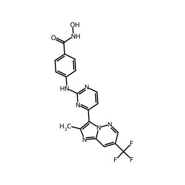 Cc1nc2cc(C(F)(F)F)cnn2c1-c1ccnc(Nc2ccc(C(=O)NO)cc2)n1